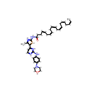 CC/C=C\C/C=C\C/C=C\C/C=C\C/C=C\C/C=C\CCC(=O)Nc1nc(C)c(-c2ccnc(Nc3ccc(N4CCOCC4)cc3)n2)s1